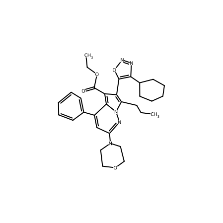 CCCc1c(-c2onnc2C2CCCCC2)c(C(=O)OCC)c2c(-c3ccccc3)cc(N3CCOCC3)nn12